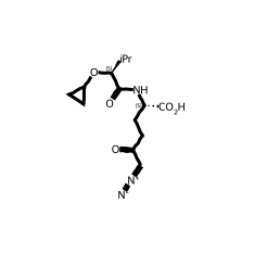 CC(C)[C@H](OC1CC1)C(=O)N[C@@H](CCC(=O)C=[N+]=[N-])C(=O)O